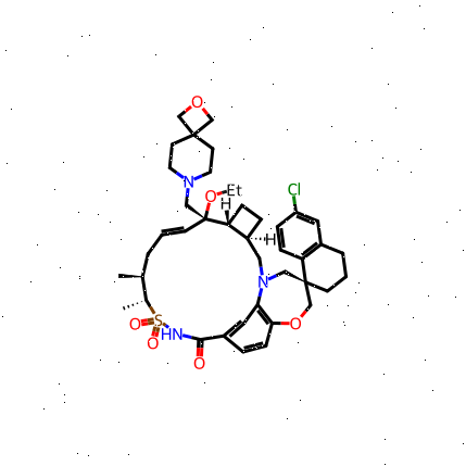 CCO[C@@]1(CN2CCC3(CC2)COC3)/C=C/C[C@H](C)[C@@H](C)S(=O)(=O)NC(=O)c2ccc3c(c2)N(C[C@@H]2CC[C@H]21)C[C@@]1(CCCc2cc(Cl)ccc21)CO3